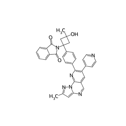 Cc1cc2ncc3cc(-c4ccncc4)c(-c4ccc(C5(N6C(=O)c7ccccc7C6=O)CC(C)(O)C5)cc4)nc3n2n1